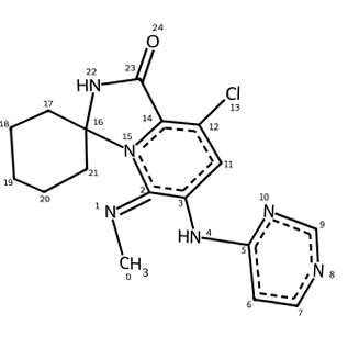 C/N=c1\c(Nc2ccncn2)cc(Cl)c2n1C1(CCCCC1)NC2=O